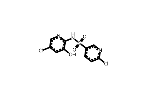 O=S(=O)(Nc1ncc(Cl)cc1O)c1ccc(Cl)nc1